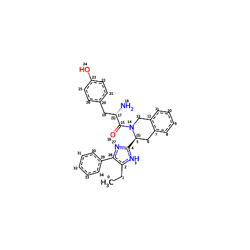 CCc1[nH]c([C@@H]2Cc3ccccc3CN2C(=O)[C@@H](N)Cc2ccc(O)cc2)nc1-c1ccccc1